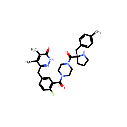 Cc1ccc(C[C@]2(C(=O)N3CCN(C(=O)c4cc(Cc5n[nH]c(=O)c(C)c5C)ccc4F)CC3)CCCN2)cc1